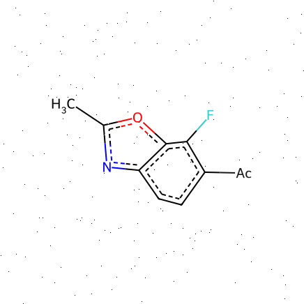 CC(=O)c1ccc2nc(C)oc2c1F